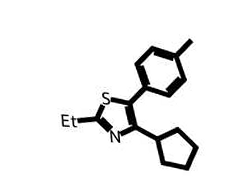 CCc1nc(C2CCCC2)c(-c2ccc(C)cc2)s1